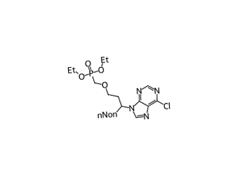 CCCCCCCCCC(CCOCP(=O)(OCC)OCC)n1cnc2c(Cl)ncnc21